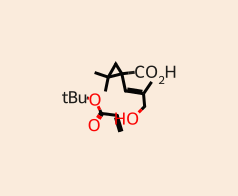 C/C(=C\C1(C(=O)O)CC1(C)C)CO.C=CC(=O)OC(C)(C)C